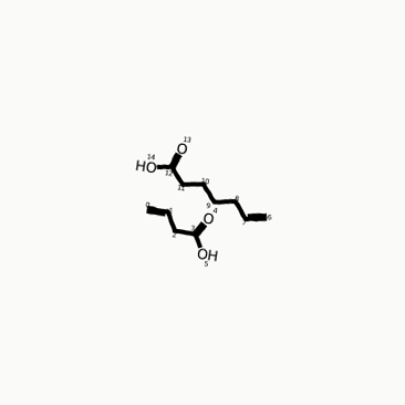 C=CCC(=O)O.C=CCCCCC(=O)O